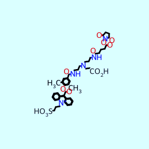 Cc1cc(C(=O)NCCCN(CCCNC(=O)CCCC(=O)ON2C(=O)CCC2=O)CCC(=O)O)cc(C)c1OC(=O)c1c2ccccc2[n+](CCCS(=O)(=O)O)c2ccccc12